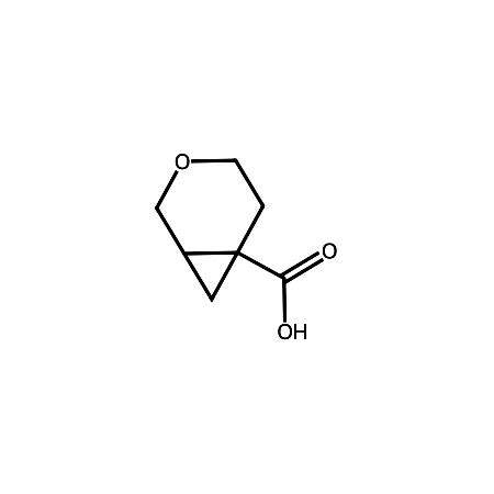 O=C(O)C12CCOCC1C2